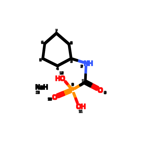 O=C(NC1CCCCC1)P(=O)(O)O.[NaH]